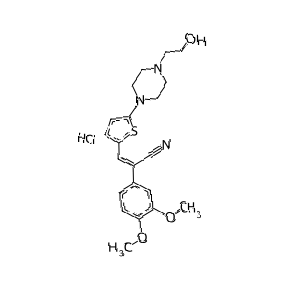 COc1ccc(/C(C#N)=C/c2ccc(N3CCN(CCO)CC3)s2)cc1OC.Cl